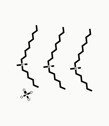 CCCCCCCCC[N+](C)(C)CCCCCC.CCCCCCCCC[N+](C)(C)CCCCCC.CCCCCCCCC[N+](C)(C)CCCCCC.O=P([O-])([O-])[O-]